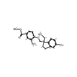 CC(C)(C)OC(=O)c1ccc(OC[C@]2(CO)CCc3cc(Cl)ccc32)c([N+](=O)[O-])c1